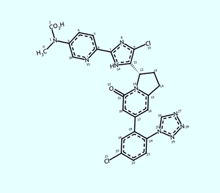 CN(C(=O)O)c1ccc(-c2nc(Cl)c([C@@H]3CCc4cc(-c5cc(Cl)ccc5-n5cnnn5)cc(=O)n43)[nH]2)nc1